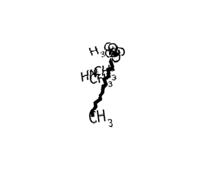 CCCCCCCCCCCCCCOS(=O)(=O)OC.CNC